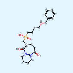 O=C1CC[C@H](CP(=O)(O)CCCCOCc2ccccc2)C(=O)N2CCCCN12